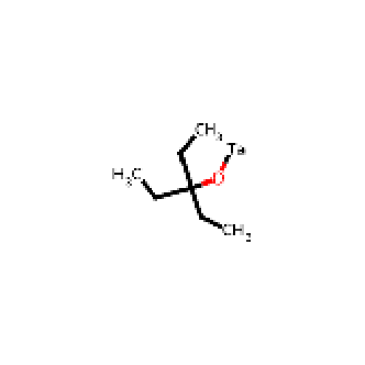 CCC(CC)(CC)[O][Ta]